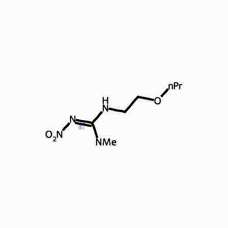 CCCOCCN/C(=N/[N+](=O)[O-])NC